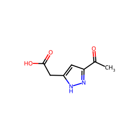 CC(=O)c1cc(CC(=O)O)[nH]n1